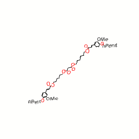 CCCCCOc1ccc(/C=C/C(=O)OCCCCCCOC(=O)CC(=O)OCCCCCCOC(=O)/C=C/c2ccc(OCCCCC)c(OC)c2)cc1OC